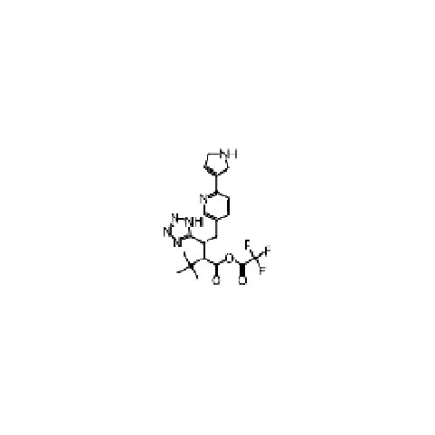 CC(C)(C)[C@H](C(=O)OC(=O)C(F)(F)F)[C@H](Cc1ccc(C2=CCNC2)nc1)c1nnn[nH]1